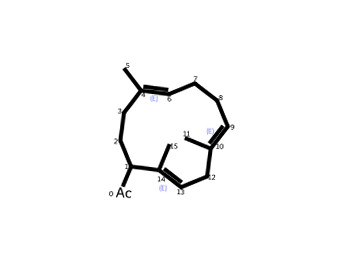 CC(=O)C1CC/C(C)=C/CC/C=C(\C)C/C=C/1C